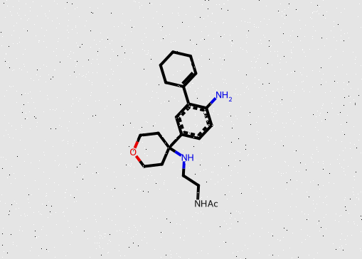 CC(=O)NCCNC1(c2ccc(N)c(C3=CCCCC3)c2)CCOCC1